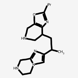 CC(C)c1nc2c(o1)CNCC2CC(C)c1cn2c(n1)CNCC2